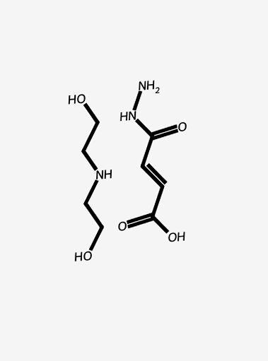 NNC(=O)C=CC(=O)O.OCCNCCO